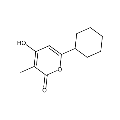 Cc1c(O)cc(C2CCCCC2)oc1=O